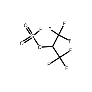 O=S(=O)(F)OC(C(F)(F)F)C(F)(F)F